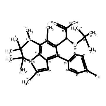 BC1(B)N(C)c2c(C)c([C@H](OC(C)(C)C)C(=O)O)c(-c3ccc(F)cc3)c3cc(C)n(c23)C1(B)B